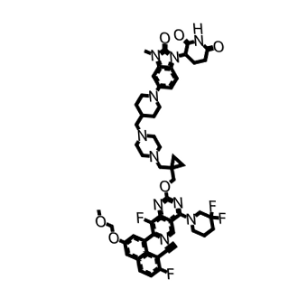 C#Cc1c(F)ccc2cc(OCOC)cc(-c3ncc4c(N5CCCC(F)(F)C5)nc(OCC5(CN6CCN(CC7CCN(c8ccc9c(c8)n(C)c(=O)n9C8CCC(=O)NC8=O)CC7)CC6)CC5)nc4c3F)c12